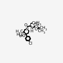 CC[C@@H](NC(=O)OC(C)(C)C)C(=O)N1CC[C@](O)(c2ccc(Cl)cc2)C(C)(C)C1